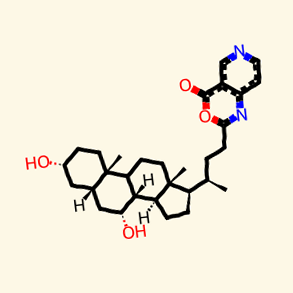 C[C@H](CCc1nc2ccncc2c(=O)o1)[C@H]1CC[C@H]2[C@H]3C(CC[C@]12C)[C@@]1(C)CC[C@@H](O)C[C@H]1C[C@H]3O